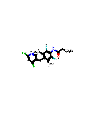 CCOC(=O)CC(=O)Nc1c(F)c(OC)c(Cc2cnc(Cl)cc2Cl)c(OC)c1F